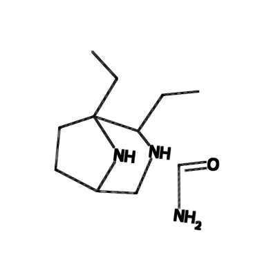 CCC1NCC2CCC1(CC)N2.NC=O